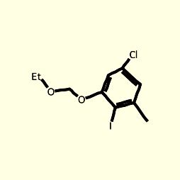 CCOCOc1cc(Cl)cc(C)c1I